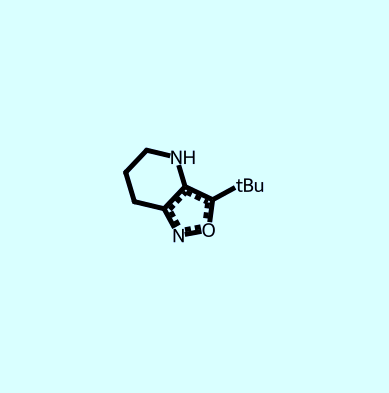 CC(C)(C)c1onc2c1NCCC2